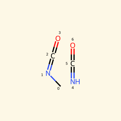 CN=C=O.N=C=O